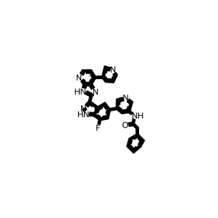 O=C(Cc1ccccc1)Nc1cncc(-c2cc(F)c3[nH]nc(-c4nc5c(-c6cccnc6)ccnc5[nH]4)c3c2)c1